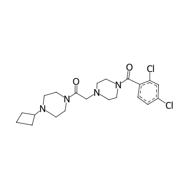 O=C(CN1CCN(C(=O)c2ccc(Cl)cc2Cl)CC1)N1CCN(C2CCC2)CC1